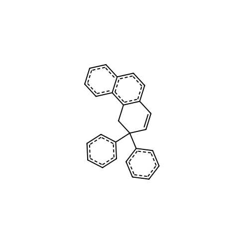 C1=CC(c2ccccc2)(c2ccccc2)Cc2c1ccc1ccccc21